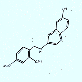 COc1ccc(CNc2ccc3ccc(O)cc3n2)c(OC)c1